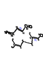 CC(C)=CCC/C(C)=C/C=O.CCCCC/C=C/C=O